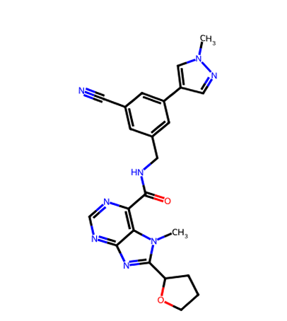 Cn1cc(-c2cc(C#N)cc(CNC(=O)c3ncnc4nc(C5CCCO5)n(C)c34)c2)cn1